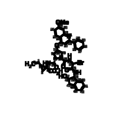 C=C[C@@H]1C[C@]1(NC(=O)[C@@H]1C[C@@H](Oc2cc(-c3ccccc3)nc3cc(OC)ccc23)CN1C(=O)NC(C(=O)N[C@H]1c2ccccc2C[C@H]1O)C(C)C)C(=O)O